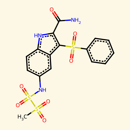 CS(=O)(=O)S(=O)(=O)Nc1ccc2[nH]c(C(N)=O)c(S(=O)(=O)c3ccccc3)c2c1